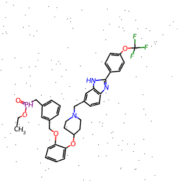 CCO[PH](=O)Cc1cccc(COc2ccccc2OC2CCN(Cc3ccc4nc(-c5ccc(OC(F)(F)F)cc5)[nH]c4c3)CC2)c1